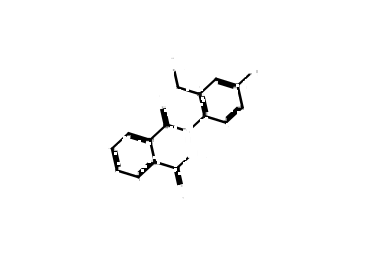 C=C(C)c1ccccc1C(=C)Nc1ccc(CCCC)cc1CC(F)(F)F